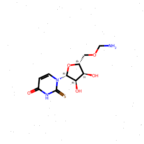 NCOC[C@H]1O[C@@H](n2ccc(=O)[nH]c2=S)[C@H](O)[C@@H]1O